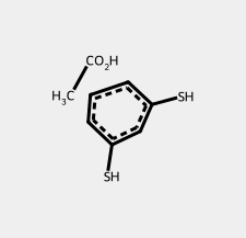 CC(=O)O.Sc1cccc(S)c1